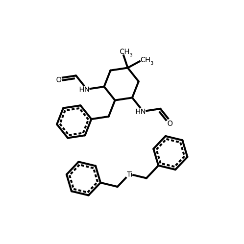 CC1(C)CC(NC=O)C(Cc2ccccc2)C(NC=O)C1.c1ccc([CH2][Ti][CH2]c2ccccc2)cc1